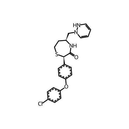 O=C1N[C@H](CN2C=CC=CN2)CCS[C@@H]1c1ccc(Oc2ccc(Cl)cc2)cc1